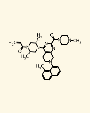 C=CC(=O)N1C[C@H](C)N(c2nc(C(=O)N3CCN(C)CC3)nc3c2CCN(c2cccc4cccc(C)c24)C3)C[C@H]1C